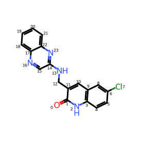 O=c1[nH]c2ccc(Cl)cc2cc1CNc1cnc2ccccc2n1